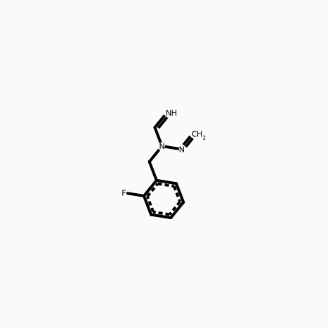 C=NN(C=N)Cc1ccccc1F